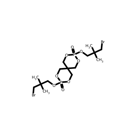 CC(C)(CBr)COP1(=O)OCC2(CO1)COP(=O)(OCC(C)(C)CBr)OC2